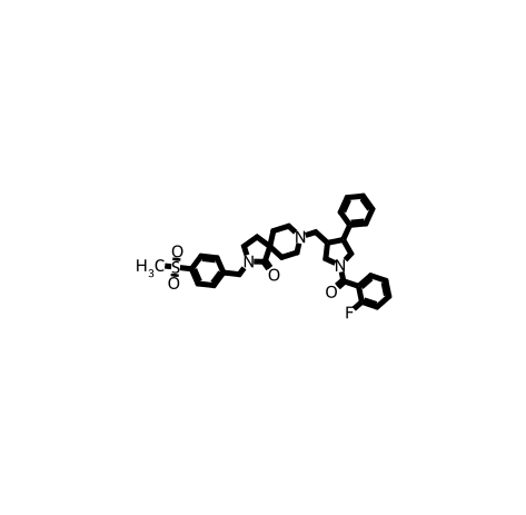 CS(=O)(=O)c1ccc(CN2CCC3(CCN(CC4CN(C(=O)c5ccccc5F)CC4c4ccccc4)CC3)C2=O)cc1